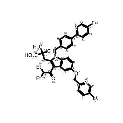 CCc1ccc(COc2ccc3c(c2)c(C(=O)C(CC)CC)c(CC(C)(C)C(=O)O)n3Cc2ccc(-c3ccc(F)cn3)cc2)nc1